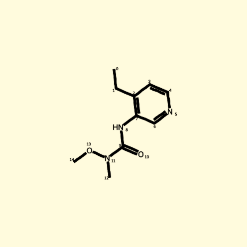 CCc1ccncc1NC(=O)N(C)OC